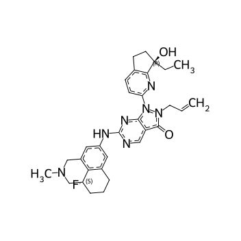 C=CCn1c(=O)c2cnc(Nc3cc4c5c(c3)CN(C)C[C@]5(F)CCC4)nc2n1-c1ccc2c(n1)[C@@](O)(CC)CC2